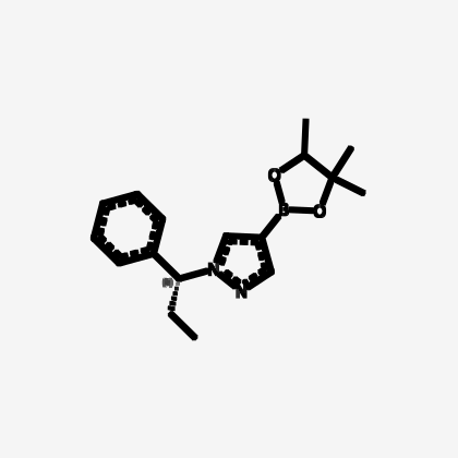 CC[C@H](c1ccccc1)n1cc(B2OC(C)C(C)(C)O2)cn1